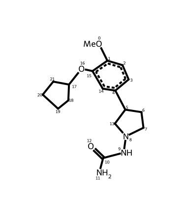 COc1ccc(C2CCN(NC(N)=O)C2)cc1OC1CCCC1